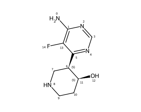 Nc1ncnc([C@@H]2CNCC[C@@H]2O)c1F